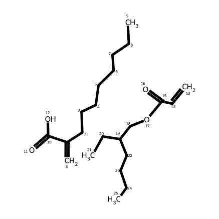 C=C(CCCCCCCC)C(=O)O.C=CC(=O)OCC(CC)CCCC